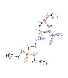 CCOP(=O)(CCCNc1ccc(OC)cc1[N+](=O)[O-])OCC